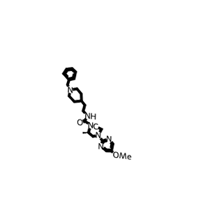 COc1cnc(N2CCN(C(=O)NCCC3CCN(Cc4ccccc4)CC3)[C@H](C)C2)nc1